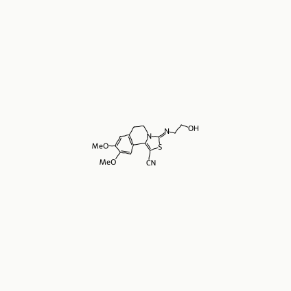 COc1cc2c(cc1OC)-c1c(C#N)sc(=NCCO)n1CC2